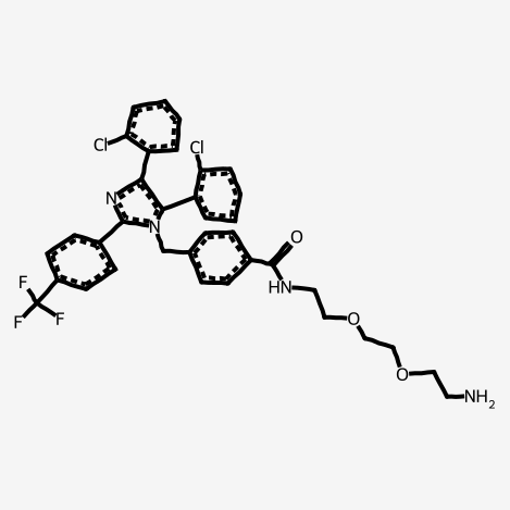 NCCOCCOCCNC(=O)c1ccc(Cn2c(-c3ccc(C(F)(F)F)cc3)nc(-c3ccccc3Cl)c2-c2ccccc2Cl)cc1